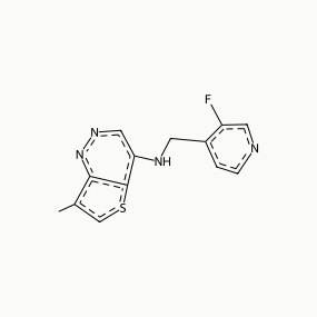 Cc1csc2c(NCc3ccncc3F)cnnc12